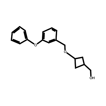 OCC1CC(OCc2cccc(Oc3ccccc3)c2)C1